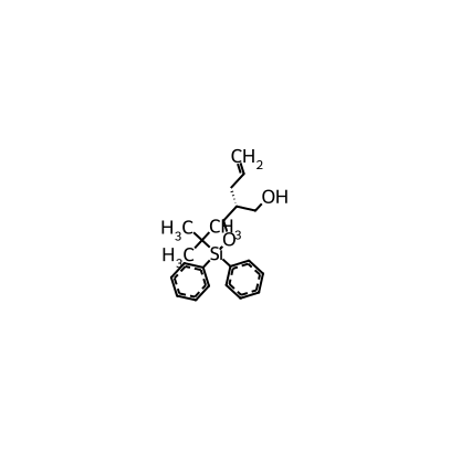 C=CC[C@H](CO)CO[Si](c1ccccc1)(c1ccccc1)C(C)(C)C